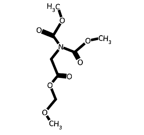 COCOC(=O)CN(C(=O)OC)C(=O)OC